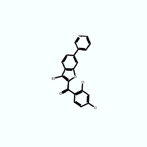 CCc1c(C(=O)c2ccc(Cl)cc2Cl)oc2cc(-c3cccnc3)ccc12